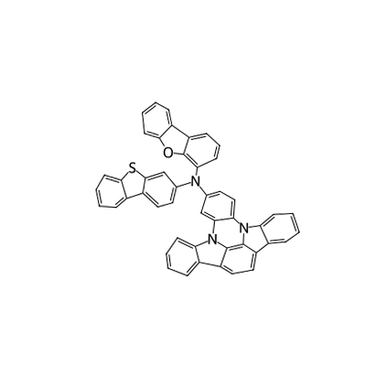 c1ccc2c(c1)oc1c(N(c3ccc4c(c3)sc3ccccc34)c3ccc4c(c3)n3c5ccccc5c5ccc6c7ccccc7n4c6c53)cccc12